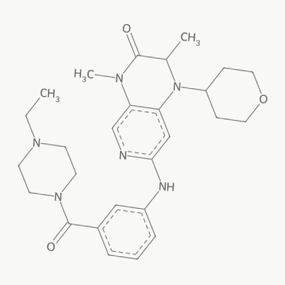 CCN1CCN(C(=O)c2cccc(Nc3cc4c(cn3)N(C)C(=O)C(C)N4C3CCOCC3)c2)CC1